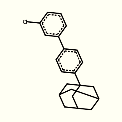 Clc1cccc(-c2ccc(C34CC5CC(CC(C5)C3)C4)cc2)c1